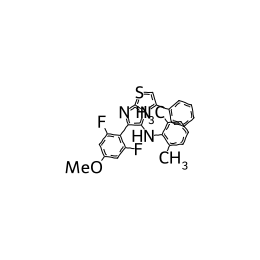 COc1cc(F)c(-c2nc3scc(-c4ccccc4)n3c2Nc2c(C)cccc2C)c(F)c1